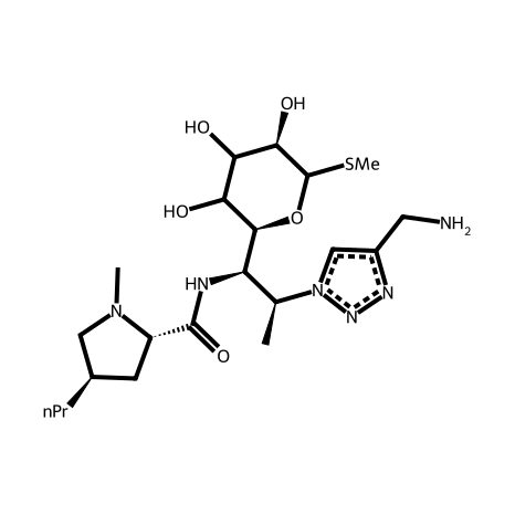 CCC[C@@H]1C[C@@H](C(=O)N[C@@H]([C@@H]2OC(SC)[C@H](O)C(O)C2O)[C@H](C)n2cc(CN)nn2)N(C)C1